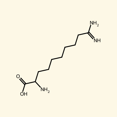 N=C(N)CCCCCCCC(N)C(=O)O